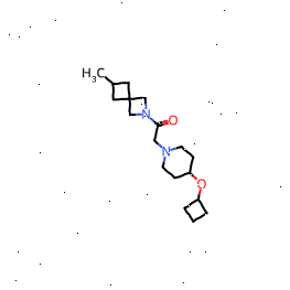 CC1CC2(C1)CN(C(=O)CN1CCC(OC3CCC3)CC1)C2